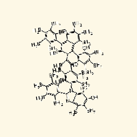 B=C1C(c2c(B)c(B)c(B)c(B)c2B)=c2c(O)c(B)c(B)c(B)c2=C(c2c(O)c(B)c(B)c(B)c2O)C1/C(B)=C(\C)c1c(B)c(B)c(-n2c(-c3c(B)c(B)c(B)c(B)c3B)nc3c(B)c(B)c(O)c(O)c32)c(B)c1B